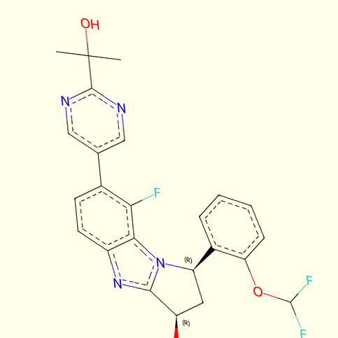 CC(C)(O)c1ncc(-c2ccc3nc4n(c3c2F)[C@@H](c2ccccc2OC(F)F)C[C@H]4O)cn1